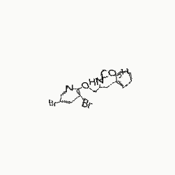 O=C(O)N[C@H](COc1ncc(Br)cc1Br)Cc1ccccc1